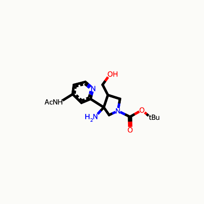 CC(=O)Nc1ccnc(C2(N)CN(C(=O)OC(C)(C)C)CC2CO)c1